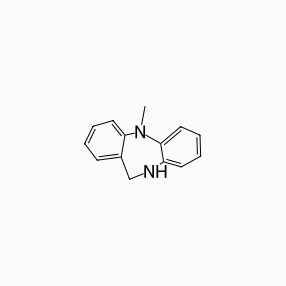 CN1c2ccccc2CNc2ccccc21